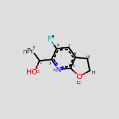 CCCC(O)c1nc2c(cc1F)CCO2